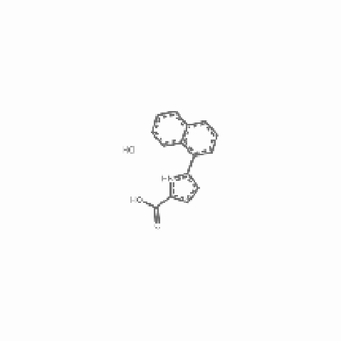 Cl.O=C(O)c1ccc(-c2cccc3ccccc23)[nH]1